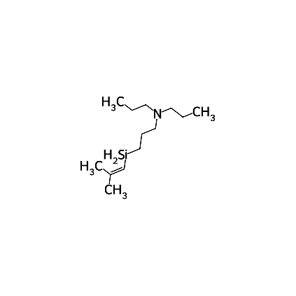 CCCN(CCC)CCC[SiH2]C=C(C)C